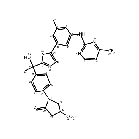 Cc1cc(Nc2nccc(C(F)(F)F)n2)cc(-c2cnc(C(C)(O)c3ccc(N4CC(C(=O)O)CC4=O)cc3)s2)c1